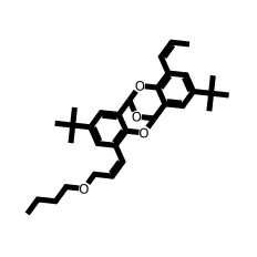 C/C=C\c1cc(C(C)(C)C)cc2c1OC1OC2Oc2c(/C=C\COCCCC)cc(C(C)(C)C)cc21